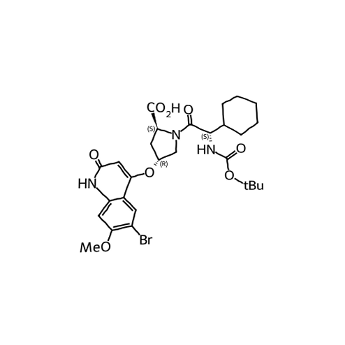 COc1cc2[nH]c(=O)cc(O[C@@H]3C[C@@H](C(=O)O)N(C(=O)[C@@H](NC(=O)OC(C)(C)C)C4CCCCC4)C3)c2cc1Br